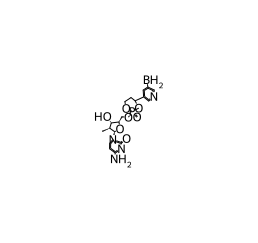 Bc1cncc(C2CCOP(=O)(OC[C@H]3O[C@@H](n4ccc(N)nc4=O)[C@@H](C)[C@@H]3O)O2)c1